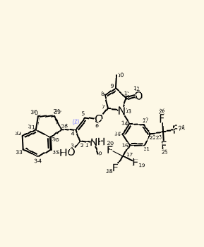 CNC(O)/C(=C\OC1C=C(C)C(=O)N1c1cc(C(F)(F)F)cc(C(F)(F)F)c1)C1CCc2ccccc21